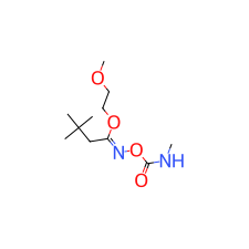 CNC(=O)ON=C(CC(C)(C)C)OCCOC